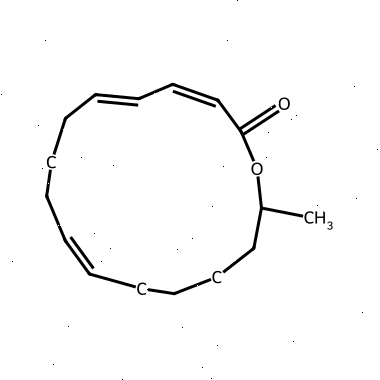 CC1CCCC/C=C\CCC/C=C/C=C\C(=O)O1